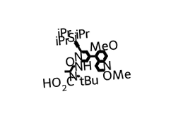 COc1ccc2c(-c3cc(C#C[Si](C(C)C)(C(C)C)C(C)C)nc(NC(=O)C(C)N(CC(C)(C)C)C(=O)O)c3)c(OC)ccc2n1